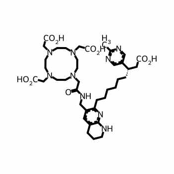 Cc1ncc([C@@H](CCCCCCc2nc3c(cc2CNC(=O)CN2CCN(CC(=O)O)CCN(CC(=O)O)CCN(CC(=O)O)CC2)CCCN3)CC(=O)O)cn1